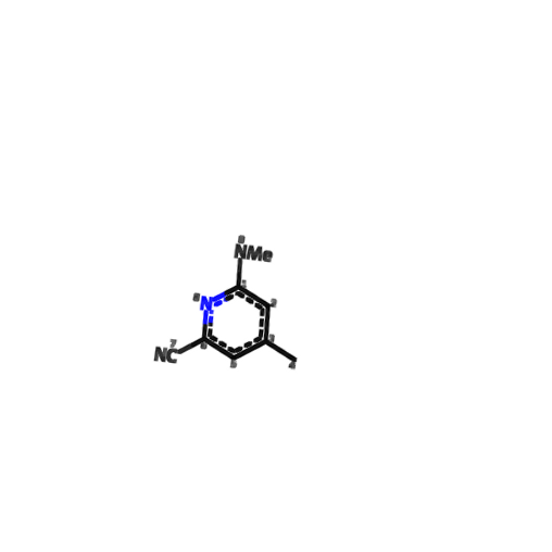 CNc1cc(C)cc(C#N)n1